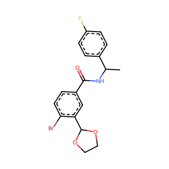 CC(NC(=O)c1ccc(Br)c(C2OCCO2)c1)c1ccc(F)cc1